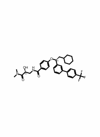 CN(C)C(=O)[C@@H](O)CNC(=O)c1ccc(O[C@@H](CC2CCCCC2)c2cccc(-c3ccc(C(F)(F)F)cc3)c2)cc1